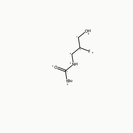 CC(C)(C)C(=O)NCC(F)CO